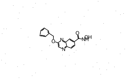 O=C(NO)c1ccc2ncc(OCc3ccccc3)nc2c1